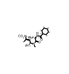 C/C(=C\[C@H](C(C)C)N(C)C(=O)[C@@H](NC(=O)C1CCCCC1)C(C)(C)C)C(=O)O